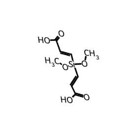 CO[Si](C=CC(=O)O)(C=CC(=O)O)OC